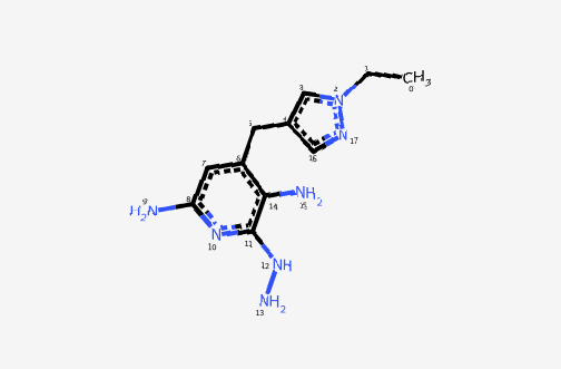 CCn1cc(Cc2cc(N)nc(NN)c2N)cn1